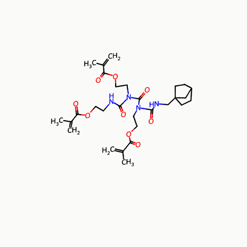 C=C(C)C(=O)OCCNC(=O)N(CCOC(=O)C(=C)C)C(=O)N(CCOC(=O)C(=C)C)C(=O)NCC12CCC(CC1)C2